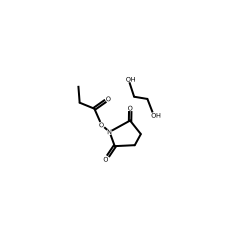 CCC(=O)ON1C(=O)CCC1=O.OCCO